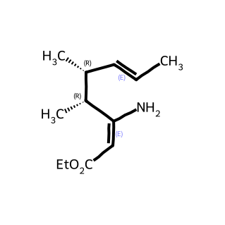 C/C=C/[C@@H](C)[C@@H](C)/C(N)=C\C(=O)OCC